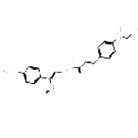 C=N/C(=C\SNC(=O)CCc1ccc(NCC(F)(F)F)cc1)c1ccc(OC)cc1